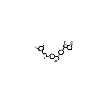 O=C(/C=C/c1cc(F)cc(F)c1)N1CCC(C(CO)N2CCC(c3c[nH]c4c3ccc[n+]4[O-])CC2)CC1